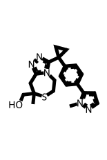 Cn1nccc1-c1ccc(C2(c3nnc4n3CCSC(C)(CO)C4)CC2)cc1